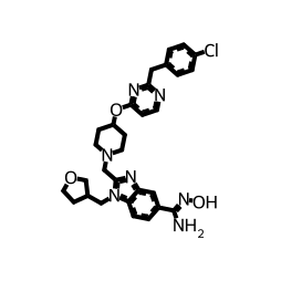 NC(=NO)c1ccc2c(c1)nc(CN1CCC(Oc3ccnc(Cc4ccc(Cl)cc4)n3)CC1)n2CC1CCOC1